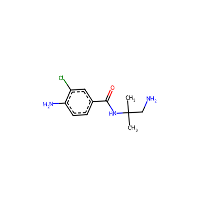 CC(C)(CN)NC(=O)c1ccc(N)c(Cl)c1